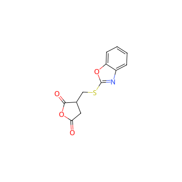 O=C1CC(CSc2nc3ccccc3o2)C(=O)O1